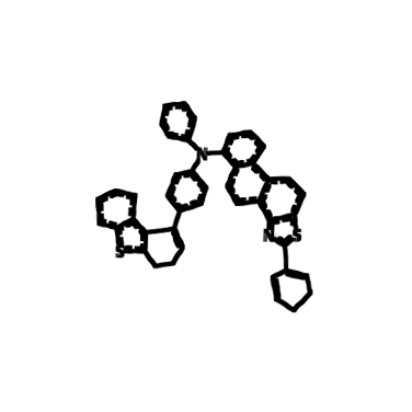 C1=CC(c2nc3c(ccc4c5cccc(N(c6ccccc6)c6ccc(C7=CCCc8sc9ccccc9c87)cc6)c5ccc43)s2)=CCC1